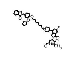 CNC(=O)C(CCC=O)N1Cc2c(cc(F)cc2C2CCN(CCCCCCCOc3ccc(N4Cc5ccccc5C4=O)cc3OC3CCCC3)CC2)C1=O